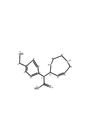 O=C(O)N(c1ccc(CO)cc1)C1C=CCCCCC1